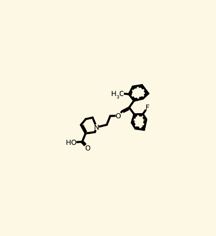 Cc1ccccc1C(=COCCN1CCC=C(C(=O)O)C1)c1ccccc1F